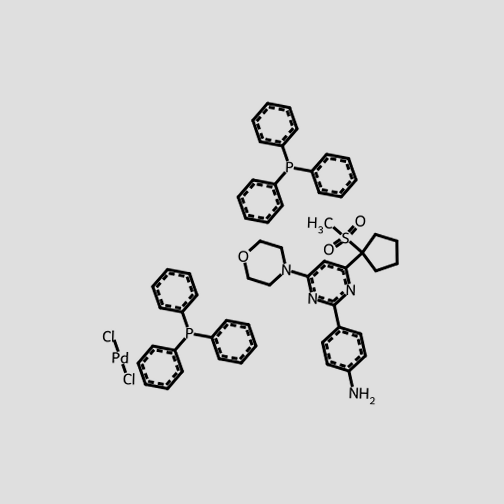 CS(=O)(=O)C1(c2cc(N3CCOCC3)nc(-c3ccc(N)cc3)n2)CCCC1.[Cl][Pd][Cl].c1ccc(P(c2ccccc2)c2ccccc2)cc1.c1ccc(P(c2ccccc2)c2ccccc2)cc1